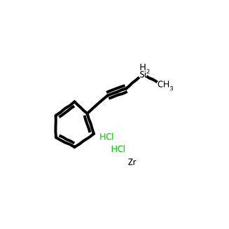 C[SiH2]C#Cc1ccccc1.Cl.Cl.[Zr]